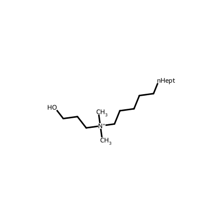 CCCCCCCCCCCC[N+](C)(C)CCCO